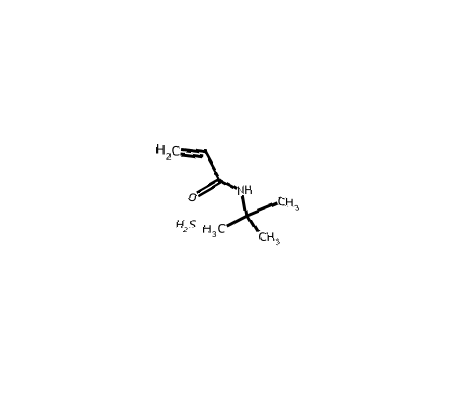 C=CC(=O)NC(C)(C)C.S